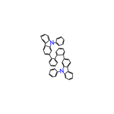 c1ccc(-n2c3ccccc3c3ccc(-c4ccccc4-c4ccccc4-c4ccc5c6ccccc6n(-c6ccccc6)c5c4)cc32)cc1